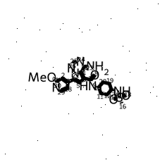 COc1cc(-c2cc(C(=O)N[C@H]3CC[C@H](NS(C)(=O)=O)CC3)c3c(N)ncnn23)ccn1